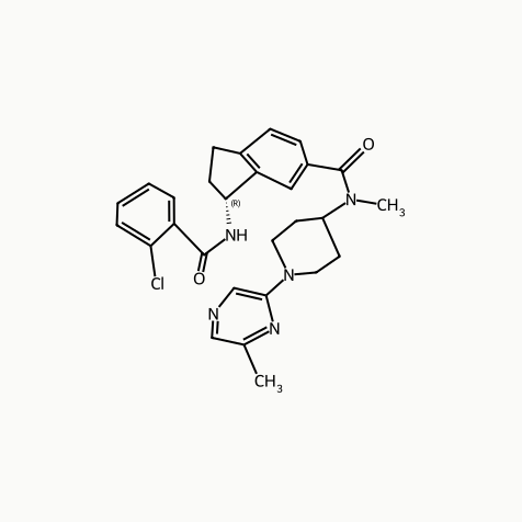 Cc1cncc(N2CCC(N(C)C(=O)c3ccc4c(c3)[C@H](NC(=O)c3ccccc3Cl)CC4)CC2)n1